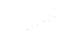 CCc1c(OC)cccc1C(=O)NN(C(=O)c1cc(OC)c(OC(C)=O)c(OC)c1)C(C)(C)C